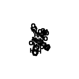 CC(C)(C)NC(=O)[C@@H]1C[C@@H]2CCCC[C@@H]2CN1C[C@@H](O)[C@H](Cc1ccccc1)NC(=O)[C@@H](NC(=O)CN1CCOCC1)C(C)(C)S(C)(=O)=O